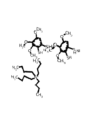 CCCC[N+](CCCC)(CCCC)CCCC.COc1cc(S)c(S)c(OC)c1OC.COc1cc(S)c(S)c(OC)c1OC.[Ni]